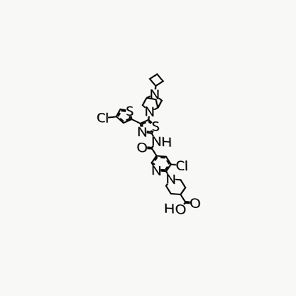 O=C(Nc1nc(-c2cc(Cl)cs2)c(N2CC3CC2CN3C2CCC2)s1)c1cnc(N2CCC(C(=O)O)CC2)c(Cl)c1